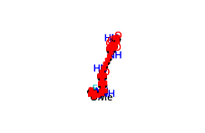 COc1cccc(F)c1-c1ncc2[nH]nc(-c3ccc(N4CCN(CC(=O)NCCCCCCNc5ccc6c(c5)C(=O)N(C5CCC(=O)NC5=O)C6=O)CC4)cc3)c2n1